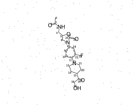 CC(=O)NCC1CN(c2ccc(N3CCC(C(=O)CO)CC3)c(F)c2)C(=O)O1